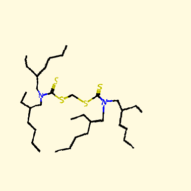 CCCCC(CC)CN(CC(CC)CCCC)C(=S)SCSC(=S)N(CC(CC)CCCC)CC(CC)CCCC